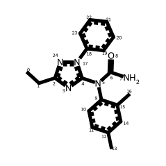 CCc1nc(N(C(N)=O)c2ccc(C)cc2C)n(-c2ccccc2)n1